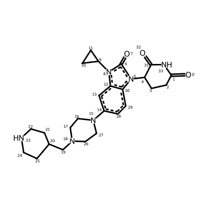 O=C1CCC(n2c(=O)n(C3CC3)c3cc(N4CCN(CC5CCNCC5)CC4)ccc32)C(=O)N1